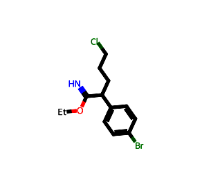 CCOC(=N)C(CCCCl)c1ccc(Br)cc1